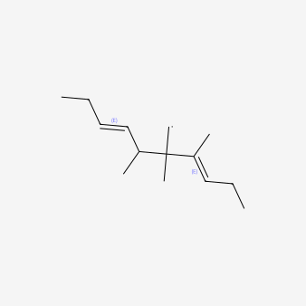 [CH2]C(C)(/C(C)=C/CC)C(C)/C=C/CC